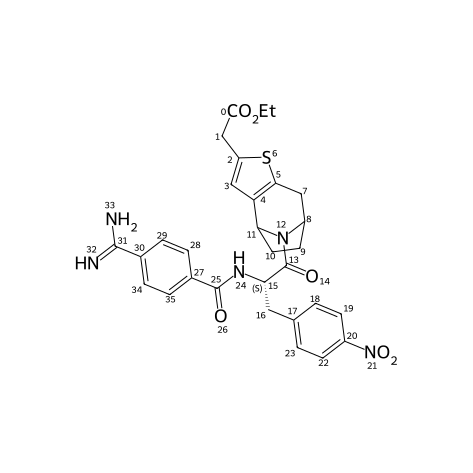 CCOC(=O)Cc1cc2c(s1)CC1CCC2N1C(=O)[C@H](Cc1ccc([N+](=O)[O-])cc1)NC(=O)c1ccc(C(=N)N)cc1